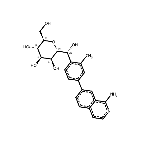 Cc1cc(-c2ccc3ccnc(N)c3c2)ccc1[C@@H](O)[C@H]1O[C@H](CO)[C@@H](O)[C@H](O)[C@@H]1O